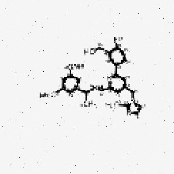 COc1cc(OC)cc(C(C)NCc2cc(Cn3ccnc3C)cc(-c3ccc(F)c(CO)c3)n2)c1